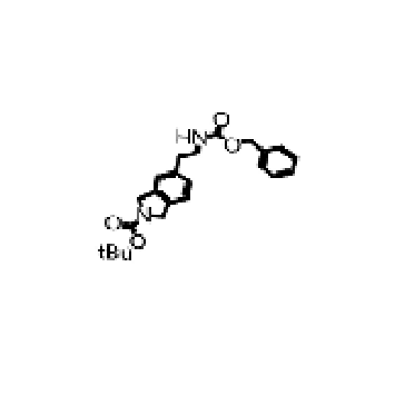 CC(C)(C)OC(=O)N1Cc2ccc(CCNC(=O)OCc3ccccc3)cc2C1